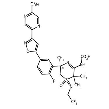 COc1cnc(-c2cc(-c3ccc(F)c([C@]4(C)CS(=O)(=NCC(F)(F)F)C(C)(C)C(NC(=O)O)=N4)c3)on2)cn1